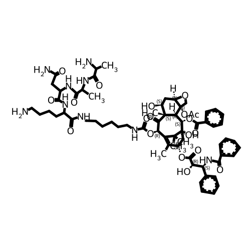 CC(=O)O[C@@]12CO[C@@H]1C[C@H](O)[C@@]1(C)C(=O)[C@H](OC(=O)NCCCCCCNC(=O)C(CCCCN)NC(=O)C(CC(N)=O)NC(=O)C(C)NC(=O)C(C)N)C3=C(C)[C@@H](OC(=O)[C@H](O)[C@@H](NC(=O)c4ccccc4)c4ccccc4)C[C@@](O)([C@@H](OC(=O)c4ccccc4)[C@H]21)C3(C)C